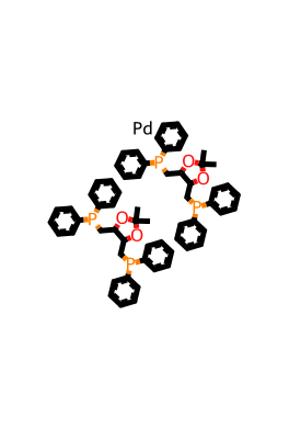 CC1(C)OC(CP(c2ccccc2)c2ccccc2)C(CP(c2ccccc2)c2ccccc2)O1.CC1(C)OC(CP(c2ccccc2)c2ccccc2)C(CP(c2ccccc2)c2ccccc2)O1.[Pd]